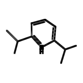 CC(C)c1cccc(C(C)C)[siH]1